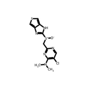 CN(C)c1nc(C[S+]([O-])c2nc3cscc3[nH]2)ncc1Cl